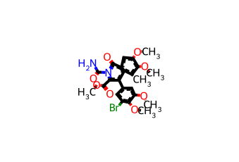 COC(=O)c1c(-c2cc(Br)c(OC)c(OC)c2)c2c(C)c(OC)c(OC)cc2c(=O)n1C(N)=O